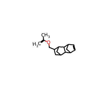 C=C(C)OCC1CC2CC1C1C3C=CC(C3)C21